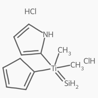 Cl.Cl.[CH3][Ti]([CH3])(=[SiH2])([C]1=CC=CC1)[c]1ccc[nH]1